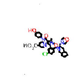 Cc1c(C(=O)N(c2ccc(O)cc2)c2cc(C(=O)O)ccn2)cc(-c2cc(Cl)ccc2C(=O)N2Cc3ccccc3C[C@H]2CN2CCOCC2)n1C